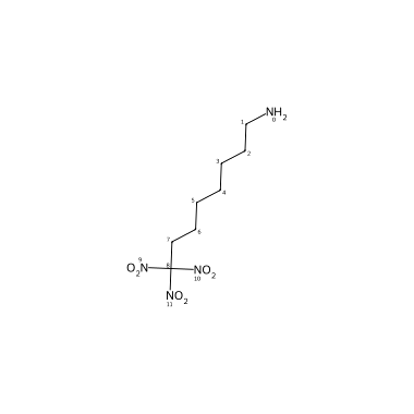 NCCCCCCCC([N+](=O)[O-])([N+](=O)[O-])[N+](=O)[O-]